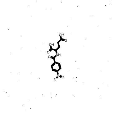 O=C(O)CCC(NC(=O)c1ccc([N+](=O)[O-])cc1)C(=O)O